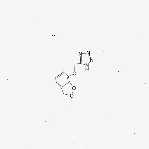 [c]1ccc2c(c1OCc1nnn[nH]1)OOC2